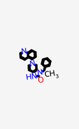 CC(c1ccccc1)n1c2c([nH]c1=O)C=CN(c1cccc3ncccc13)C2